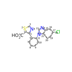 O=C(O)c1scnc1-c1ccccc1-n1cnc2cc(Cl)ccc21